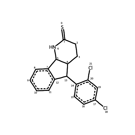 S=C1CCC2C(N1)c1ccccc1C2c1ccc(Cl)cc1Cl